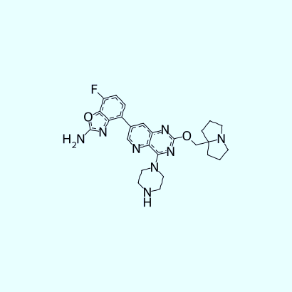 Nc1nc2c(-c3cnc4c(N5CCNCC5)nc(OCC56CCCN5CCC6)nc4c3)ccc(F)c2o1